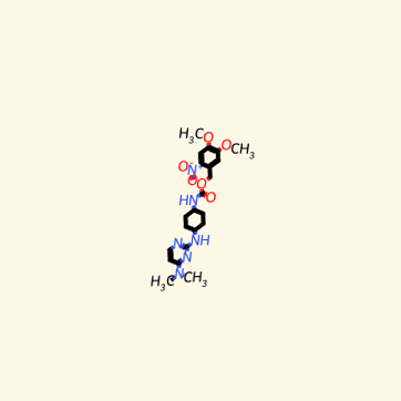 COc1cc(COC(=O)NC2CCC(Nc3nccc(N(C)C)n3)CC2)c([N+](=O)[O-])cc1OC